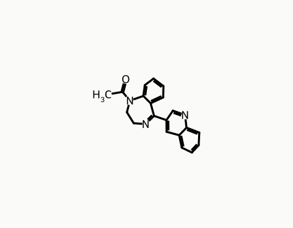 CC(=O)N1CCN=C(c2cnc3ccccc3c2)c2ccccc21